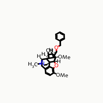 COc1ccc2c3c1O[C@H]1[C@@]4(OC)CC[C@@]5([C@@H](C)[C@@H]4COCc4ccccc4)[C@@H](C2)N(C)CC[C@]315